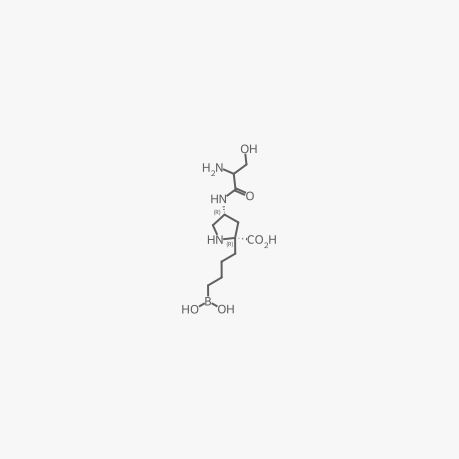 NC(CO)C(=O)N[C@H]1CN[C@@](CCCCB(O)O)(C(=O)O)C1